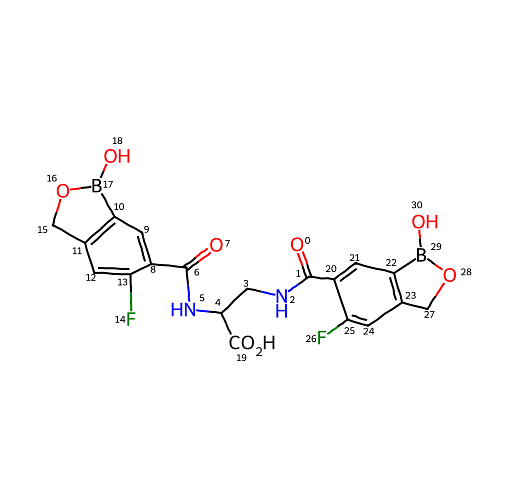 O=C(NCC(NC(=O)c1cc2c(cc1F)COB2O)C(=O)O)c1cc2c(cc1F)COB2O